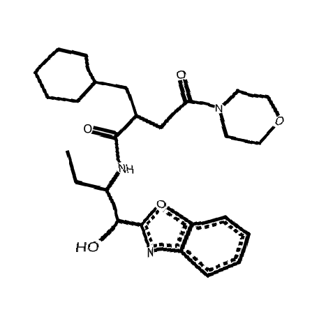 CCC(NC(=O)C(CC(=O)N1CCOCC1)CC1CCCCC1)C(O)c1nc2ccccc2o1